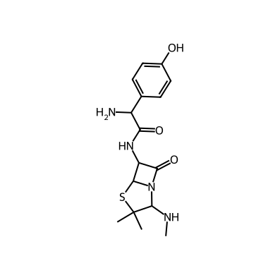 CNC1N2C(=O)C(NC(=O)C(N)c3ccc(O)cc3)C2SC1(C)C